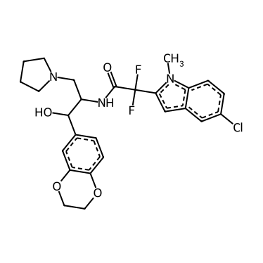 Cn1c(C(F)(F)C(=O)NC(CN2CCCC2)C(O)c2ccc3c(c2)OCCO3)cc2cc(Cl)ccc21